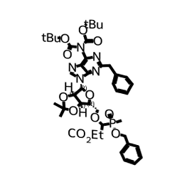 CCOC(=O)C(OC[C@H]1O[C@@H](n2cnc3c(N(C(=O)OC(C)(C)C)C(=O)OC(C)(C)C)nc(Cc4ccccc4)nc32)[C@@H]2OC(C)(C)O[C@@H]21)P(C)(=O)OCc1ccccc1